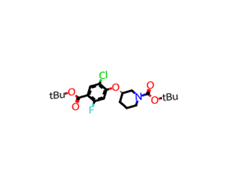 CC(C)(C)OC(=O)c1cc(Cl)c(O[C@H]2CCCN(C(=O)OC(C)(C)C)C2)cc1F